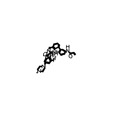 C=CC(=O)Nc1cccc(-c2cccc3c2NC(Nc2ccc(N4CCN(C)CC4)cc2F)(C(N)=O)N=C3)c1